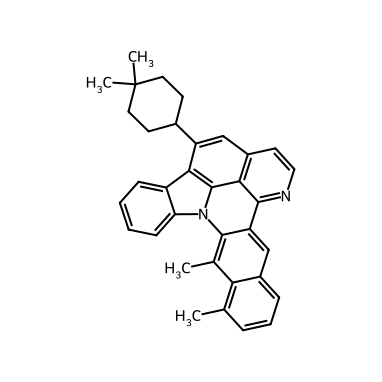 Cc1cccc2cc3c4nccc5cc(C6CCC(C)(C)CC6)c6c7ccccc7n(c3c(C)c12)c6c54